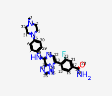 CN1CCN(c2ccc(Nc3ncc(-c4ccc(C(N)=O)cc4F)n4ncnc34)cc2)CC1